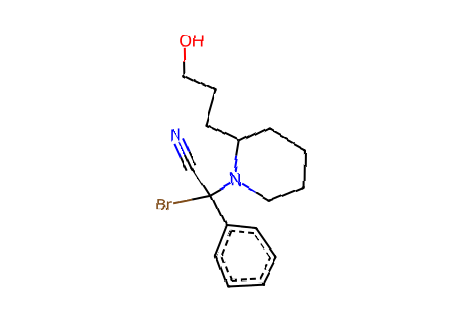 N#CC(Br)(c1ccccc1)N1CCCCC1CCCO